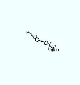 CNC(=O)[C@@](C)(C(=O)NO)N(C)C(=O)c1ccc(C#Cc2ccc(CNCCC#N)cc2)cc1